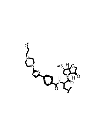 COCCN1CCN(c2nc(-c3ccc(C(=O)NC(CC(C)C)C(=O)N4C[C@H](SC)[C@H]5OCC(=O)[C@H]54)cc3)cs2)CC1